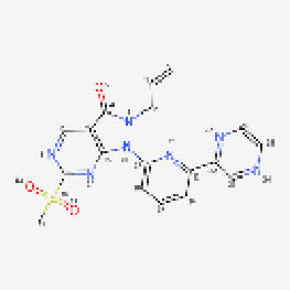 C=CCn1c(=O)c2cnc(S(C)(=O)=O)nc2n1-c1cccc(-c2cnccn2)n1